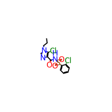 CCCn1cnc(C(=O)NS(=O)(=O)c2ccccc2Cl)c1Cl